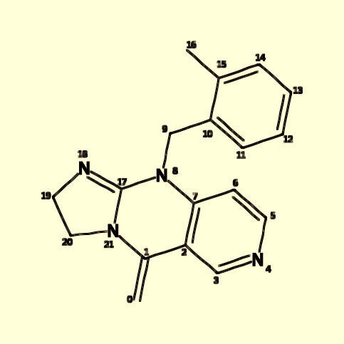 C=C1c2cnccc2N(Cc2ccccc2C)C2=NCCN12